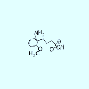 COc1cccc(N)c1CCCS(=O)(=O)O